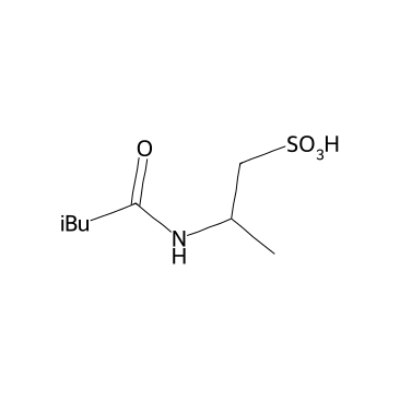 CCC(C)C(=O)NC(C)CS(=O)(=O)O